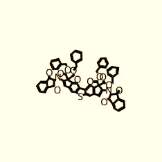 O=C(OCc1ccccc1)C1(C(=O)OCc2ccccc2)C(N=c2c(=O)c3ccccc3c2=O)=Cc2cc3sc4cc5c(cc4c3cc21)C(C(=O)OCc1ccccc1)(C(=O)OCc1ccccc1)C(N=c1c(=O)c2ccccc2c1=O)=C5